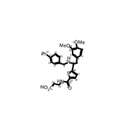 COc1ccc(CC(NCc2ccc(C(C)C)cc2)c2ccc(C(=O)NCCC(=O)O)s2)cc1OC